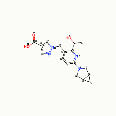 CC(O)c1nc(N2CC3CC3C2)ccc1Cn1cc(C(=O)O)cn1